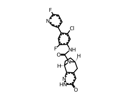 O=C(Nc1cc(Cl)c(-c2ccc(F)nc2)cc1F)N1[C@H]2CC[C@@H]1c1n[nH]c(=O)cc1C2